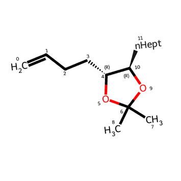 C=CCC[C@H]1OC(C)(C)O[C@@H]1CCCCCCC